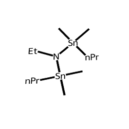 CC[CH2][Sn]([CH3])([CH3])[N](CC)[Sn]([CH3])([CH3])[CH2]CC